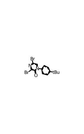 CC(C)(C)c1ccc(-n2cc(Br)nc(Br)c2=O)cc1